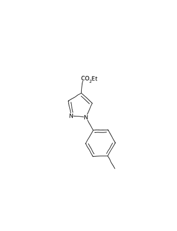 CCOC(=O)c1cnn(-c2ccc(C)cc2)c1